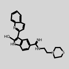 N=C(NCCN1CCSCC1)c1ccc2[nH]c(O)c(-c3ccc4ccccc4n3)c2c1